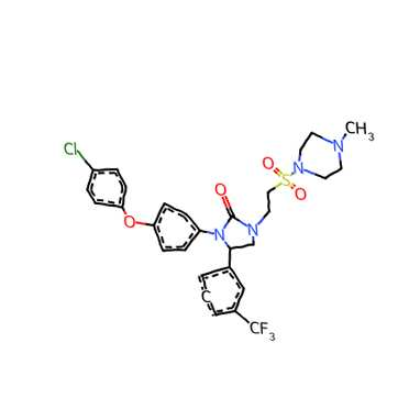 CN1CCN(S(=O)(=O)CCN2CC(c3cccc(C(F)(F)F)c3)N(c3ccc(Oc4ccc(Cl)cc4)cc3)C2=O)CC1